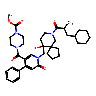 CC(CC1CCCCC1)C(=O)N1CCC(O)(Cn2cc(C(=O)N3CCN(C(=O)OC(C)(C)C)CC3)c(-c3ccccc3)cc2=O)C2(CCCC2)C1